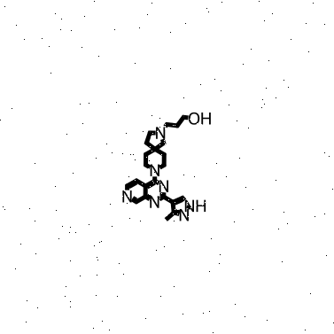 Cc1n[nH]cc1-c1nc(N2CCC3(CCN(CCCO)C3)CC2)c2ccncc2n1